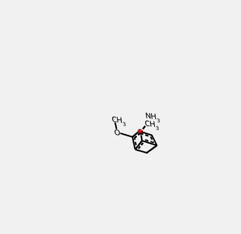 COc1ccc2c(OC)c1C2.N